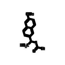 CCC(=O)SC(C(=O)O)c1ccc2cc(OC)ccc2c1